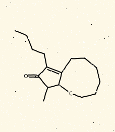 CCCCC1=C2CCCCCCCC2C(C)C1=O